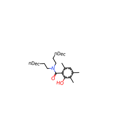 CCCCCCCCCCCCN(CCCCCCCCCCCC)C(=O)c1c(C)cc(C)c(C)c1O